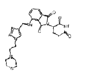 O=C1CCC(N2C(=O)c3cccc(NCc4cn(CCN5CCOCC5)nn4)c3C2=O)C(=O)N1